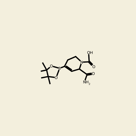 CC1(C)OB(C2=CC(C(N)=O)N(C(=O)O)CC2)OC1(C)C